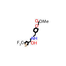 COC(=O)COc1ccc(CCNCC(O)c2csc(C(F)(F)F)c2)cc1